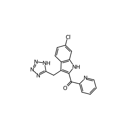 O=C(c1ccccn1)c1[nH]c2cc(Cl)ccc2c1Cc1nnn[nH]1